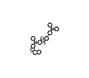 c1ccc(N(c2ccccc2)c2ccc(-c3ccc4c(c3)Oc3cc(N(c5ccccc5)c5ccc6sc7ccc8ccccc8c7c6c5)ccc3S4)cc2)cc1